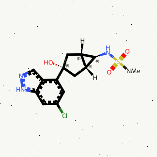 CNS(=O)(=O)N[C@H]1[C@@H]2C[C@@](O)(c3cc(Cl)cc4[nH]ncc34)C[C@@H]21